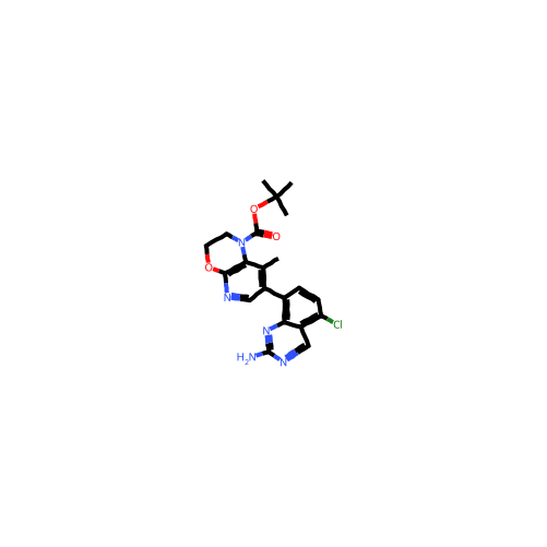 Cc1c(-c2ccc(Cl)c3cnc(N)nc23)cnc2c1N(C(=O)OC(C)(C)C)CCO2